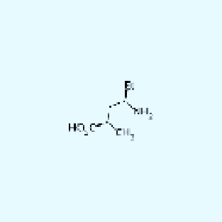 CC[C@@H](N)C[C@@H](C)C(=O)O